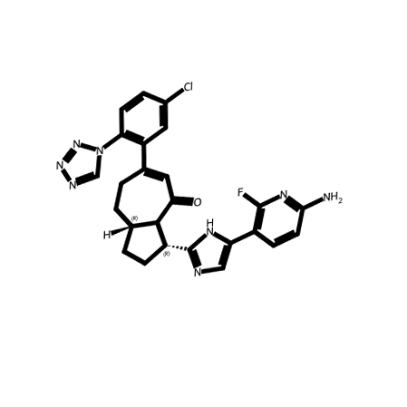 Nc1ccc(-c2cnc([C@@H]3CC[C@@H]4CCC(c5cc(Cl)ccc5-n5cnnn5)=CC(=O)C43)[nH]2)c(F)n1